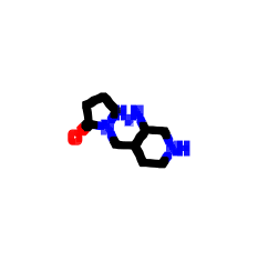 NC1CNCCC1CN1CCCC1=O